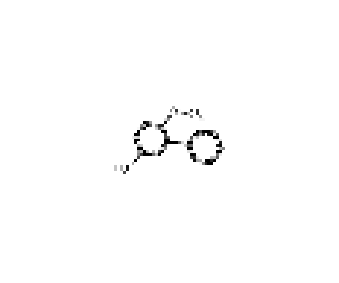 Cc1ccc(OC(F)(F)F)c(-c2ccccc2)c1